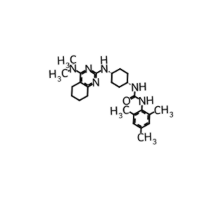 Cc1cc(C)c(NC(=O)N[C@H]2CC[C@@H](Nc3nc4c(c(N(C)C)n3)CCCC4)CC2)c(C)c1